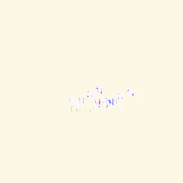 CCOC(=O)C1CCN(C(=O)c2cccc(N)c2)CC1.Nc1ccc(N2CCC(C(=O)N3CCCCC3)CC2)cc1.Nc1ccc(N2CCC(C(=O)N3CCOCC3)CC2)cc1